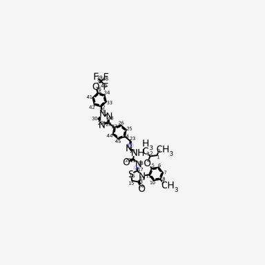 CCC(C)Oc1ccc(C)cc1N1C(=O)CS/C1=N\C(=O)N/N=C/c1ccc(-c2ncn(-c3ccc(OC(F)(F)F)cc3)n2)cc1